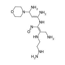 NC/C(NCCNN)=C(/N=O)N/C(N)=C/C(N)N1CCOCC1